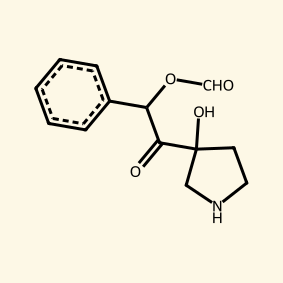 O=COC(C(=O)C1(O)CCNC1)c1ccccc1